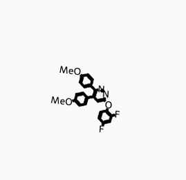 COc1ccc(-c2cc(Oc3ccc(F)cc3F)nnc2-c2ccc(OC)cc2)cc1